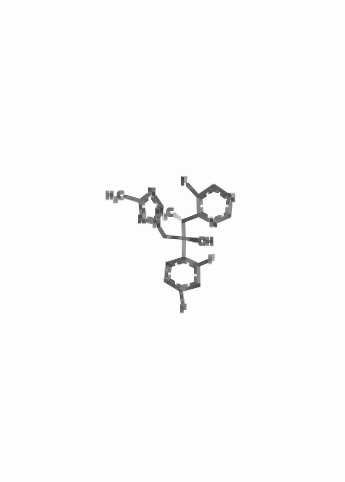 Cc1ncn(C[C@@](O)(c2ccc(F)cc2F)[C@H](C)c2ncncc2F)n1